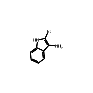 CCc1[nH]c2ccccc2c1N